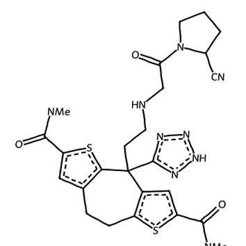 CNC(=O)c1cc2c(s1)CCc1cc(C(=O)NC)sc1C2(CCNCC(=O)N1CCCC1C#N)c1nn[nH]n1